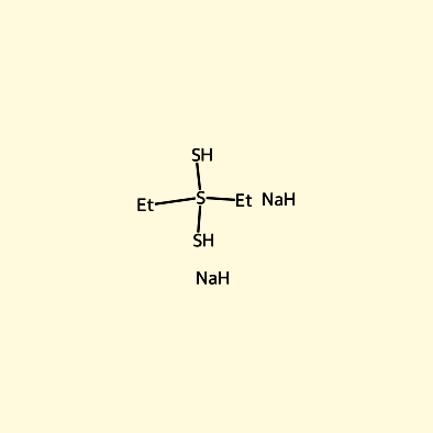 CCS(S)(S)CC.[NaH].[NaH]